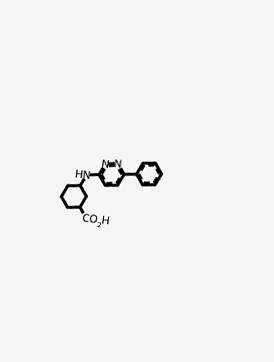 O=C(O)C1CCCC(Nc2ccc(-c3ccccc3)nn2)C1